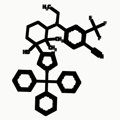 CCN(c1ccc(C#N)c(C(F)(F)F)c1)C1CCCC(O)(c2cn(C(c3ccccc3)(c3ccccc3)c3ccccc3)cn2)C1(C)C